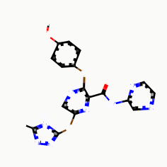 COc1ccc(Sc2ncc(Sc3nnc(C)[nH]3)nc2C(=O)Nc2cnccn2)cc1